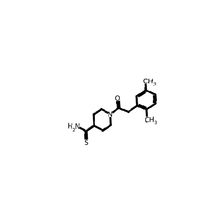 Cc1ccc(C)c(CC(=O)N2CCC(C(N)=S)CC2)c1